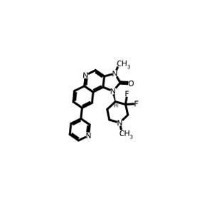 CN1CC[C@@H](n2c(=O)n(C)c3cnc4ccc(-c5cccnc5)cc4c32)C(F)(F)C1